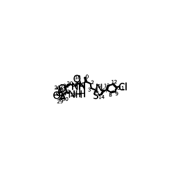 C=C(CCc1nc(-c2ccc(Cl)cc2)cs1)NC(=O)N/C=C\C(=N)C1(S(C)(=O)=O)CC1